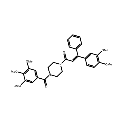 COc1ccc(/C(=C/C(=O)N2CCN(C(=O)c3cc(OC)c(OC)c(OC)c3)CC2)c2ccccc2)cc1OC